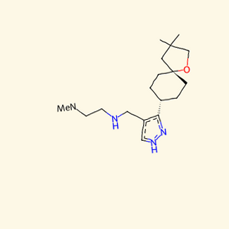 CNCCNCc1c[nH]nc1[C@H]1CC[C@@]2(CC1)CC(C)(C)CO2